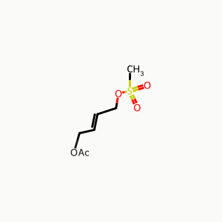 CC(=O)OCC=CCOS(C)(=O)=O